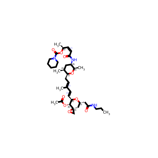 CCCNC(=O)C[C@@H]1C[C@@]2(CO2)[C@H](OC(C)=O)[C@@H](/C=C/C(C)=C/C[C@@H]2O[C@H](C)[C@H](NC(=O)/C=C\[C@H](C)OC(=O)N3CCCCC3)C[C@@H]2C)O1